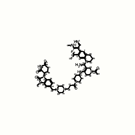 CN/C=C(\C=N)c1cc2c(cc1C(F)F)N(C(N)C1=C(NC3CCN(C(=O)CCN4CCN(Cc5ccc6c(c5)n(C)c(=O)n6C5CCC(=O)NC5=O)CC4)CC3)CCN(C(C)=O)C1)CCC2